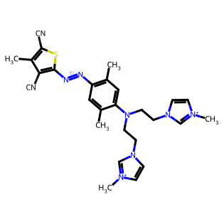 [C-]#[N+]c1c(/N=N/c2cc(C)c(N(CCn3cc[n+](C)c3)CCn3cc[n+](C)c3)cc2C)sc(C#N)c1C